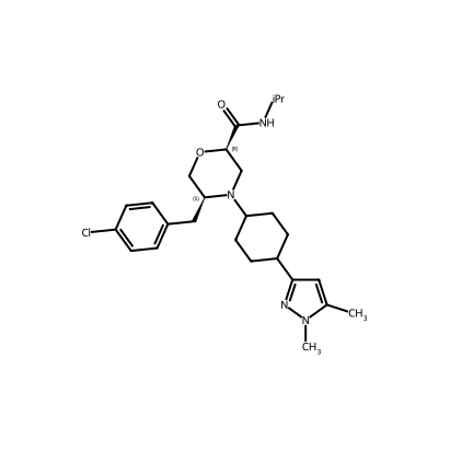 Cc1cc(C2CCC(N3C[C@H](C(=O)NC(C)C)OC[C@@H]3Cc3ccc(Cl)cc3)CC2)nn1C